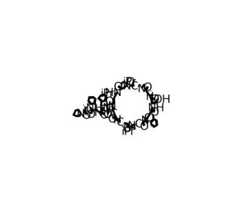 CC(C)C[C@H]1CC(=O)N(C)C[C@@H](Cc2ccccc2)C(=O)N[C@@H]([C@@H](C)O)C(=O)N(C)[C@@H](C)C(=O)N(C)CCC(=O)N(C)[C@@H](CC(C)C)C(=O)N[C@@H](C(C)C)CC(=O)N[C@H](C(=O)N(C)[C@@H](Cc2ccccc2)C(=O)N(C)[C@@H](Cc2ccccc2)C(=O)N[C@@H](C)C(=O)N2CCCCC2)CC(=O)N(C)C[C@@H](C)C(=O)N1C